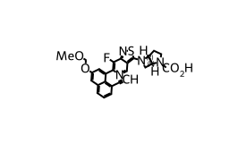 C#Cc1cccc2cc(OCOC)cc(-c3ncc4c(N5C[C@@H]6[C@H]5CCN6C(=O)O)snc4c3F)c12